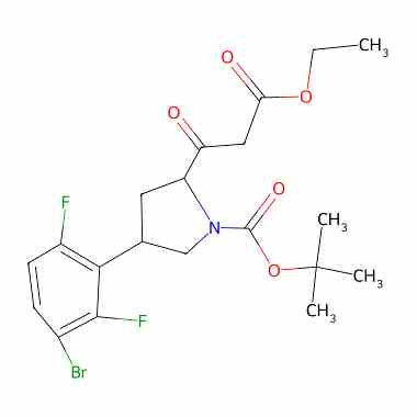 CCOC(=O)CC(=O)C1CC(c2c(F)ccc(Br)c2F)CN1C(=O)OC(C)(C)C